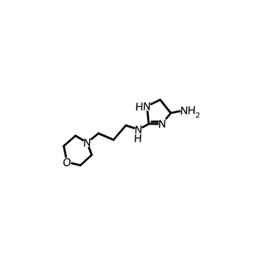 NC1CNC(NCCCN2CCOCC2)=N1